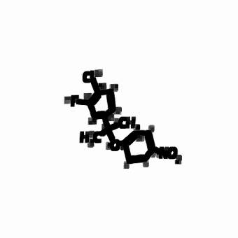 CC(C)(Oc1ccc([N+](=O)[O-])cc1)c1ccc(Cl)c(F)c1